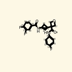 O=C(NC12CC(C3(C(=O)Nc4ccc(F)cc4)COC3)(C1)C2)c1ccc(F)c(F)c1